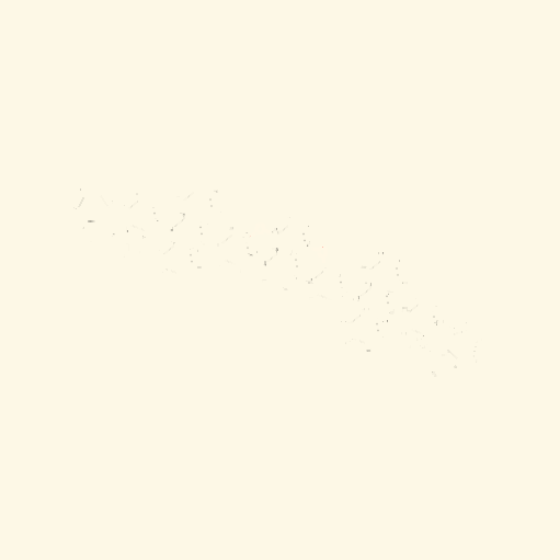 CC1(C)c2ccccc2-c2ccc(-c3c4ccccc4c(-c4ccc5c(c4)Oc4ccc6c7c4=C5CCC=7c4ccc(-c5c7ccccc7c(-c7ccc8c(c7)C(C)(C)c7ccccc7-8)c7ccccc57)cc4O6)c4ccccc34)cc21